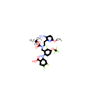 COc1ccc(N)c(CCN(Cc2c(Nc3cc(F)c(F)cc3C(=O)O)ccc(OC(F)(F)F)c2F)C(=O)OC(C)(C)C)n1